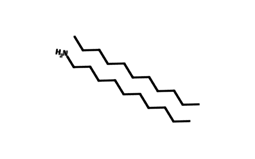 CCCCCCCCCCC.CCCCCCCCCCN